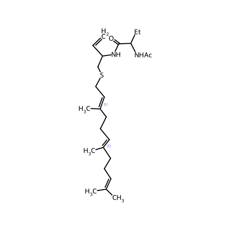 C=CC(CSC/C=C(\C)CC/C=C(\C)CCC=C(C)C)NC(=O)C(CC)NC(C)=O